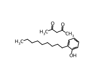 CC(=O)CC(C)=O.CCCCCCCCCc1ccccc1O